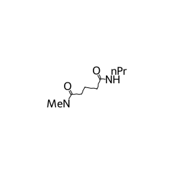 CCCNC(=O)CCCC(=O)NC